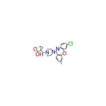 Cc1ccc2c(c1)Oc1cc(Cl)ccc1N=C2N1CCN(CC2(C(=O)O)CC2)CC1